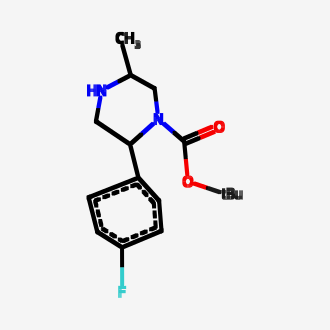 CC1CN(C(=O)OC(C)(C)C)C(c2ccc(F)cc2)CN1